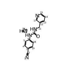 Cl.N#Cc1ccc(NC(=O)NCc2cccnc2)cc1.[Zn]